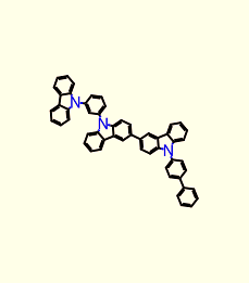 c1ccc(-c2ccc(-n3c4ccccc4c4cc(-c5ccc6c(c5)c5ccccc5n6-c5cccc(-n6c7ccccc7c7ccccc76)c5)ccc43)cc2)cc1